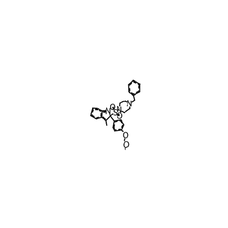 COCOc1ccc(C2(S(=O)(=O)N3CCN(Cc4ccccc4)CC3)N=c3ccccc3=C2C)cc1